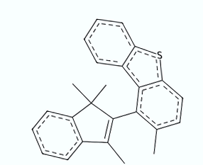 CC1=C(c2c(C)ccc3sc4ccccc4c23)C(C)(C)c2ccccc21